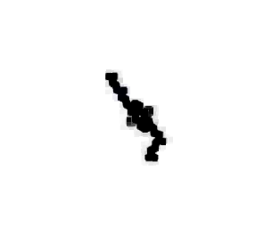 CC(C)=CCC/C(C)=C/CCc1ccc2c(c1)C(=O)c1ccc(CCCC(C)CCC=C(C)C)cc1C2=O